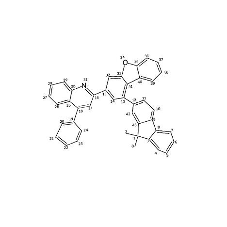 CC1(C)c2ccccc2-c2ccc(-c3cc(-c4cc(-c5ccccc5)c5ccccc5n4)cc4oc5ccccc5c34)cc21